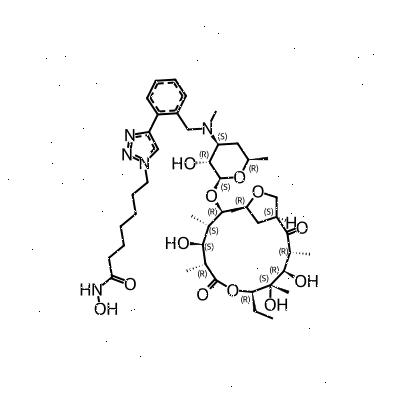 CC[C@H]1OC(=O)[C@H](C)[C@@H](O)[C@H](C)[C@@H](O[C@@H]2O[C@H](C)C[C@H](N(C)Cc3ccccc3-c3cn(CCCCCCC(=O)NO)nn3)[C@H]2O)[C@@]2(C)C[C@@H](CO2)C(=O)[C@H](C)[C@@H](O)[C@]1(C)O